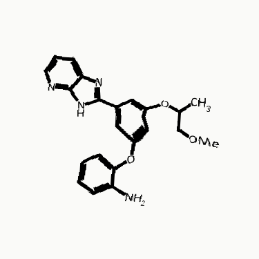 COCC(C)Oc1cc(Oc2ccccc2N)cc(-c2nc3cccnc3[nH]2)c1